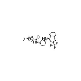 C=CC12CCC(C(=O)N[C@@H]3CCC[C@H](Nc4cc(C(F)(F)F)nc5ccccc45)C3)(CC1)CO2